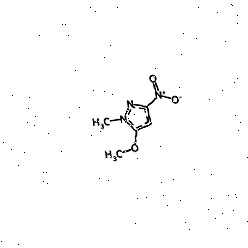 COc1cc([N+](=O)[O-])nn1C